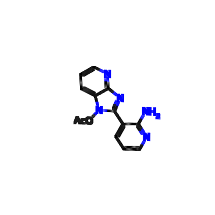 CC(=O)On1c(-c2cccnc2N)nc2ncccc21